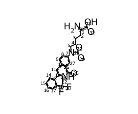 N[C@H](CCC1CN(c2ccc3cc(-c4ccccc4C(F)(F)F)[nH]c(=O)c3c2)C(=O)O1)C(=O)O